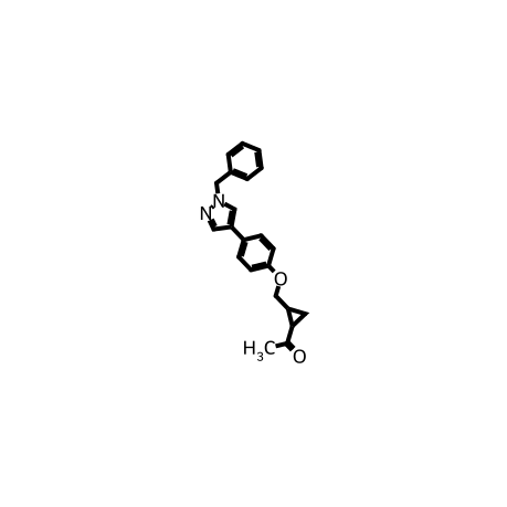 CC(=O)C1CC1COc1ccc(-c2cnn(Cc3ccccc3)c2)cc1